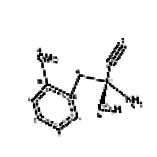 C#C[C@](N)(Cc1ccccc1OC)C(=O)O